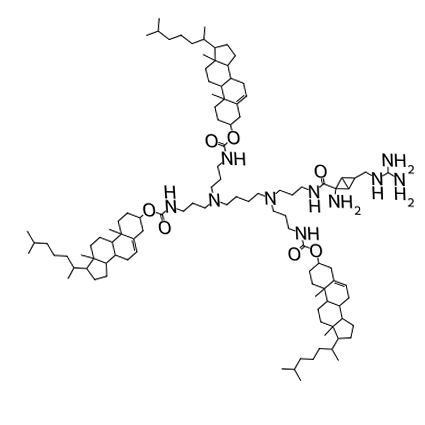 CC(C)CCCC(C)C1CCC2C3CC=C4CC(OC(=O)NCCCN(CCCCN(CCCNC(=O)OC5CCC6(C)C(=CCC7C6CCC6(C)C(C(C)CCCC(C)C)CCC76)C5)CCCNC(=O)C5(N)C6C(CNC(N)N)C65)CCCNC(=O)OC5CCC6(C)C(=CCC7C6CCC6(C)C(C(C)CCCC(C)C)CCC76)C5)CCC4(C)C3CCC12C